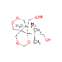 CC(C)(CO)C1(C(C)(C)CO)OCOCC12CCOOC2